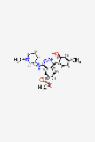 Cc1ccc(-c2nnc(N[C@@H]3CCCN(C)C3)c3cc(S(C)(=O)=O)ccc23)c(O)c1